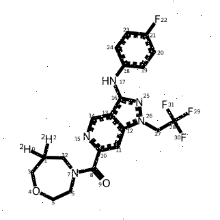 [2H]C1([2H])COCCN(C(=O)c2cc3c(cn2)c(Nc2ccc(F)cc2)nn3CC(F)(F)F)C1